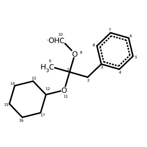 CC(Cc1ccccc1)(O[C]=O)OC1CCCCC1